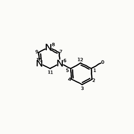 Cc1cccc(N2C=NC=NC2)c1